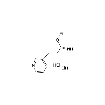 CCOC(=N)CCc1cccnc1.Cl.Cl